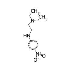 CCN(CC)CCNc1ccc([N+](=O)[O-])cc1